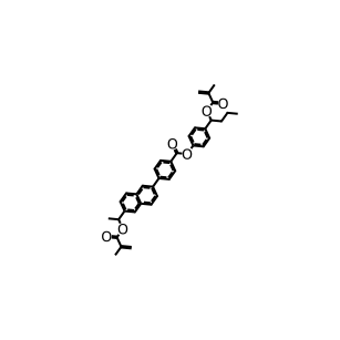 C=C(C)C(=O)OC(C)c1ccc2cc(-c3ccc(C(=O)Oc4ccc(C(CCC)OC(=O)C(=C)C)cc4)cc3)ccc2c1